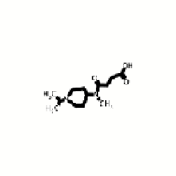 CC(C)N1CCC(N(C)C(=O)CCC(=O)O)CC1